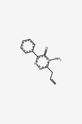 C=CCc1nnc(-c2ccccc2)c(=O)n1N